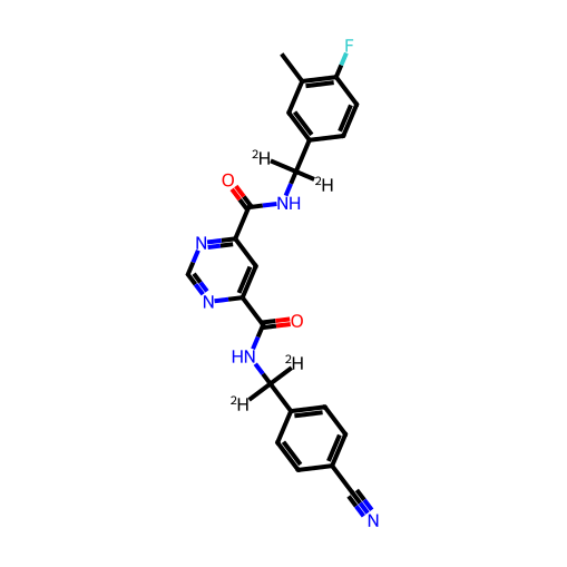 [2H]C([2H])(NC(=O)c1cc(C(=O)NC([2H])([2H])c2ccc(F)c(C)c2)ncn1)c1ccc(C#N)cc1